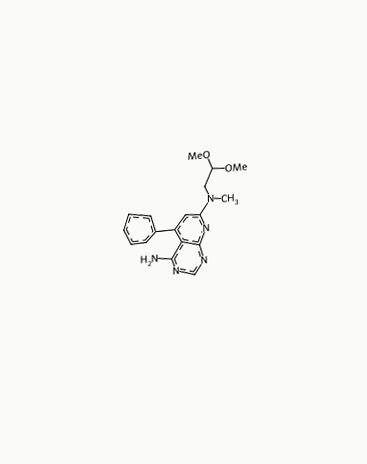 COC(CN(C)c1cc(-c2ccccc2)c2c(N)ncnc2n1)OC